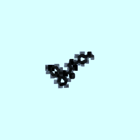 CSc1ccc(-c2nc(C(=O)Nc3ccccc3N3CCNCC3)cs2)cc1